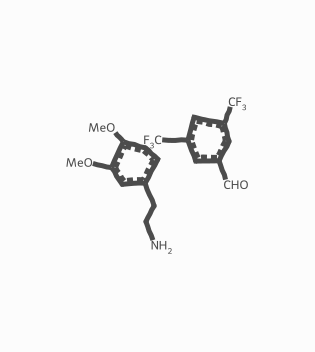 COc1ccc(CCN)cc1OC.O=Cc1cc(C(F)(F)F)cc(C(F)(F)F)c1